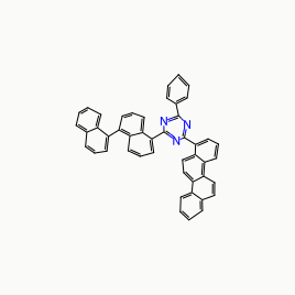 c1ccc(-c2nc(-c3cccc4c(-c5cccc6ccccc56)cccc34)nc(-c3cccc4c3ccc3c5ccccc5ccc43)n2)cc1